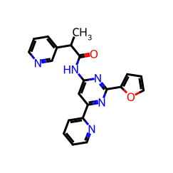 CC(C(=O)Nc1cc(-c2ccccn2)nc(-c2ccco2)n1)c1cccnc1